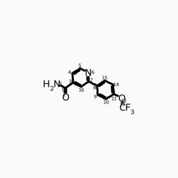 NC(=O)c1ccnc(-c2ccc(OC(F)(F)F)cc2)c1